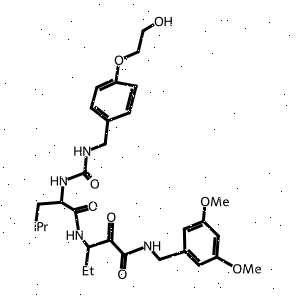 CCC(NC(=O)C(CC(C)C)NC(=O)NCc1ccc(OCCO)cc1)C(=O)C(=O)NCc1cc(OC)cc(OC)c1